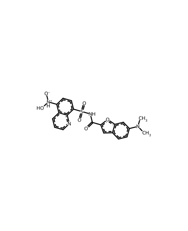 CN(C)c1ccc2cc(C(=O)NS(=O)(=O)c3ccc([NH+]([O-])O)c4cccnc34)oc2c1